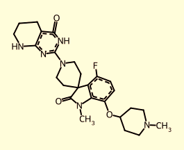 CN1CCC(Oc2ccc(F)c3c2N(C)C(=O)C32CCN(c3nc4c(c(=O)[nH]3)CCCN4)CC2)CC1